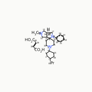 CC(C)C1CCC(N2CCC3(CC2)[C@H]2CN(C)C[C@H]2CN3c2ccccc2)CC1.O=C(O)/C=C/C(=O)O